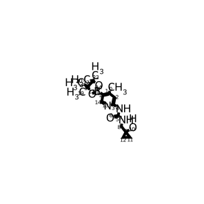 Cc1cc(NC(=O)NCC2(O)CC2)ncc1B1OC(C)(C)C(C)(C)O1